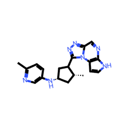 Cc1ccc(N[C@@H]2CC(c3nnc4cnc5[nH]ccc5n34)[C@H](C)C2)cn1